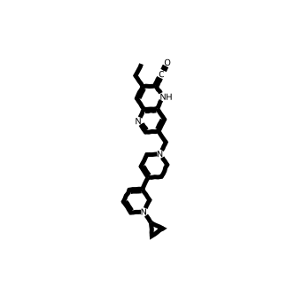 CCC1=Cc2ncc(CN3CC=C(C4=CC=CN(C5CC5)C4)CC3)cc2NC1=C=O